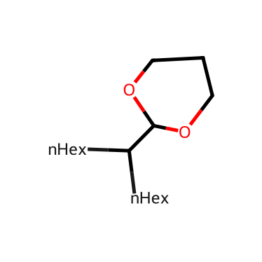 CCCCCCC(CCCCCC)C1OCCCO1